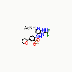 CC(=O)Nc1cc(Nc2ccc([C@@H]3CCCCO3)cc2S(C)(=O)=O)c2nc(C(F)F)[nH]c2n1